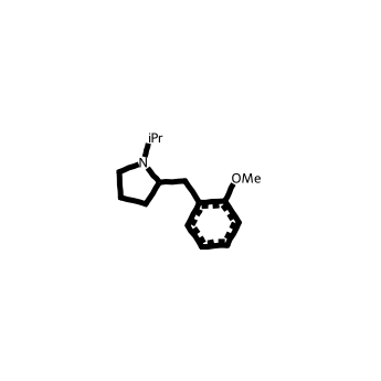 COc1ccccc1CC1CCCN1C(C)C